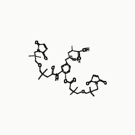 CC(C[C@@H](N)Cc1ccc(OC(=O)CC(C)(C)COCC(C)(C)CN2C(=O)C=CC2=O)c(NC(=O)CC(C)(C)COCC(C)(C)CN2C(=O)C=CC2=O)c1)C(=O)O